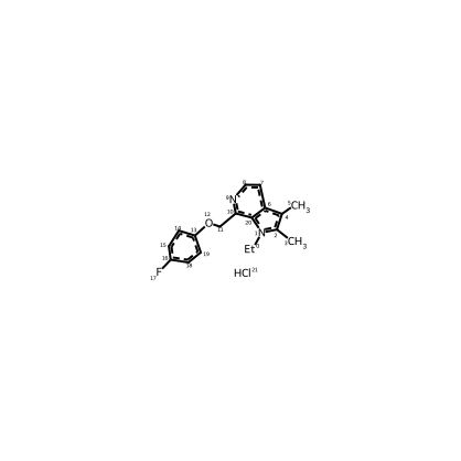 CCn1c(C)c(C)c2ccnc(COc3ccc(F)cc3)c21.Cl